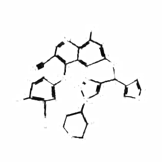 N#Cc1cnc2c(Cl)cc(N[C@@H](c3ccsc3)c3cn(C4CCNCC4)nn3)cc2c1Nc1ccc(F)c(Cl)c1